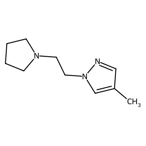 Cc1cnn(CCN2CCCC2)c1